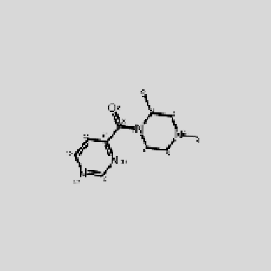 C[C@H]1CN(C)CCN1C(=O)c1ccncn1